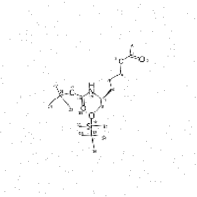 CC(=O)OCCC[C@@H](CO[Si](C)(C)C(C)(C)C)NC(=O)OC(C)(C)C